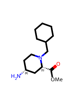 COC(=O)[C@@H]1C[C@H](N)CCN1CC1CCCCC1